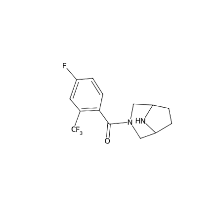 O=C(c1ccc(F)cc1C(F)(F)F)N1CC2CCC(C1)N2